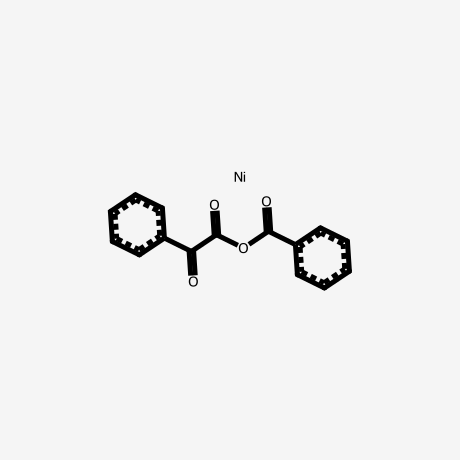 O=C(OC(=O)c1ccccc1)C(=O)c1ccccc1.[Ni]